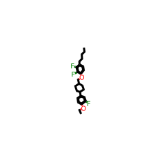 CCCCCc1ccc(OCC2CCC(c3ccc(OCC)c(F)c3)CC2)c(F)c1F